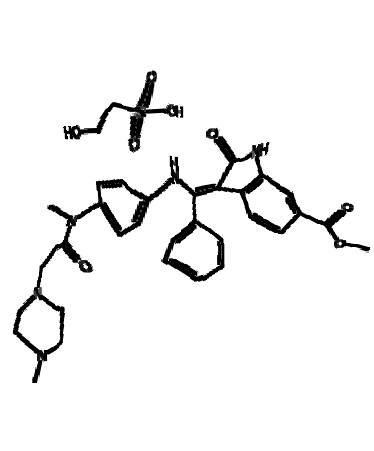 COC(=O)c1ccc2c(c1)NC(=O)/C2=C(\Nc1ccc(N(C)C(=O)CN2CCN(C)CC2)cc1)c1ccccc1.O=S(=O)(O)CCO